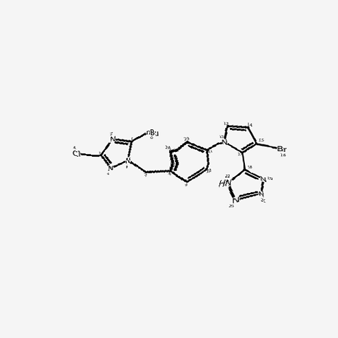 CCCCc1nc(Cl)nn1Cc1ccc(-n2ccc(Br)c2-c2nnn[nH]2)cc1